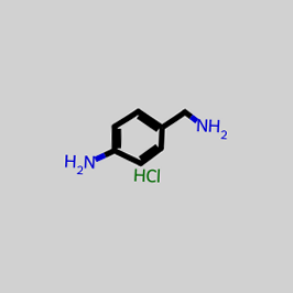 Cl.NCc1ccc(N)cc1